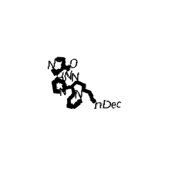 CCCCCCCCCCCCCCC(=NNC(=O)c1ccncc1)C(c1ccccn1)c1ccccn1